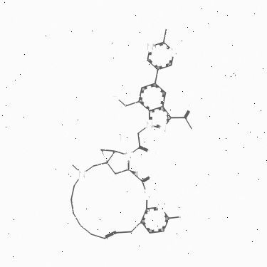 CC(=O)c1nn(CC(=O)N2[C@H]3C[C@]4(C[C@@H]24)CN(C)CCCCC/C=C/Cc2ccc(Br)nc2NC3=O)c2c(CF)cc(-c3cnc(C)nc3)cc12